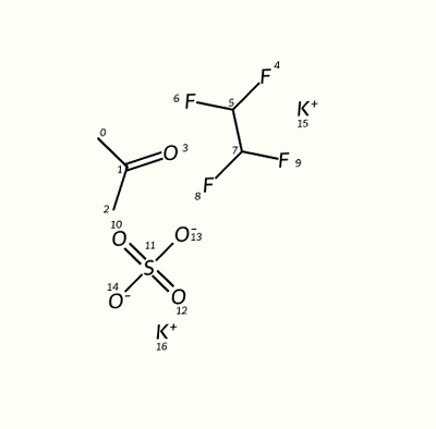 CC(C)=O.FC(F)C(F)F.O=S(=O)([O-])[O-].[K+].[K+]